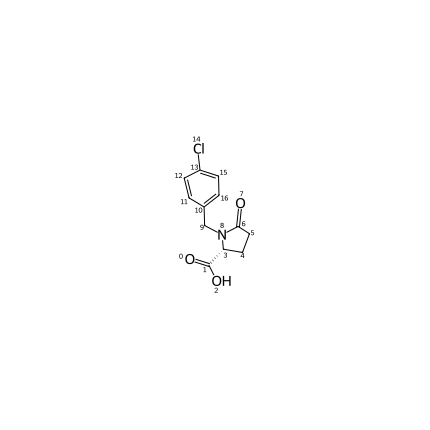 O=C(O)[C@H]1CCC(=O)N1Cc1ccc(Cl)cc1